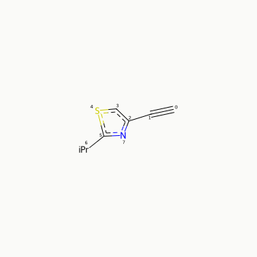 C#Cc1csc(C(C)C)n1